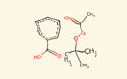 CC(=O)OOC(C)(C)C.O=C(O)c1ccccc1